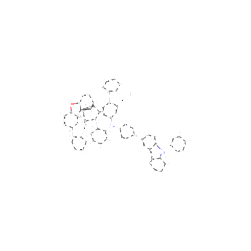 CC1(C)c2ccccc2-c2ccc(N(c3ccc(-c4ccc5c(c4)c4ccccc4n5-c4ccccc4)cc3)c3cccc4c3-c3ccccc3C43c4ccccc4-c4ccc5oc6ccccc6c5c43)cc21